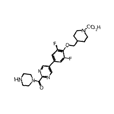 O=C(O)N1CCC(COc2c(F)cc(-c3cnc(C(=O)N4CCNCC4)nc3)cc2F)CC1